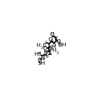 CCC(NC(=O)[C@]1(P)CSC(/C(S)=N/OS)=N1)c1cc(OO)cc(=O)o1